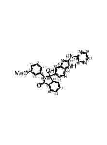 COc1cccc(N2C(=O)c3ccccc3C2(O)c2ccc3[nH]c(Nc4cnccn4)nc3c2)c1